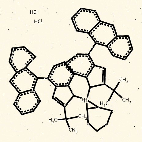 CC(C)(C)C1=Cc2c(-c3c4ccccc4cc4ccccc34)cccc2[CH]1[Hf]1([CH]2C(C(C)(C)C)=Cc3c(-c4c5ccccc5cc5ccccc45)cccc32)[CH]2CCCC[CH]21.Cl.Cl